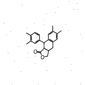 Cc1ccc(C2c3cc(C)c(C)cc3CC3COC(=O)C32)cc1C